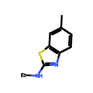 CCNc1nc2ccc(C)cc2s1